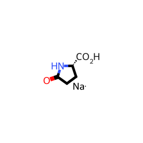 O=C1CC[C@@H](C(=O)O)N1.[Na]